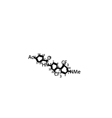 CNc1ccc(-c2ccc(NC(=O)c3ccc(C(C)=O)cc3)cc2C(F)(F)F)c(C(F)(F)F)c1